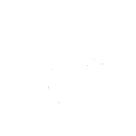 CCCCCCCCCC(S[As](C)C)C(=O)O.C[As](C)SCCCCCCCCCCC(=O)O